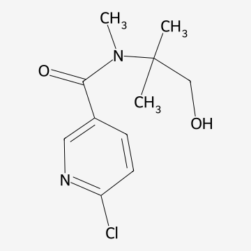 CN(C(=O)c1ccc(Cl)nc1)C(C)(C)CO